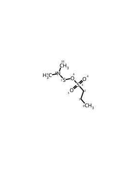 CCCS(=O)(=O)OSN(C)C